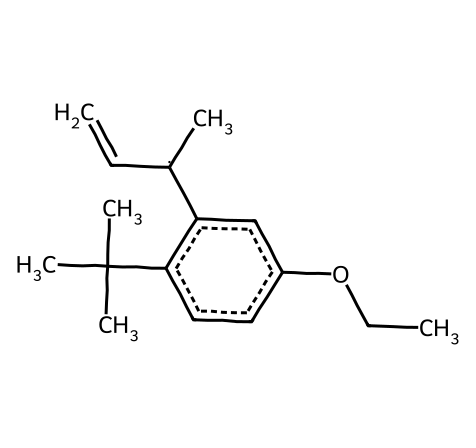 C=C[C](C)c1cc(OCC)ccc1C(C)(C)C